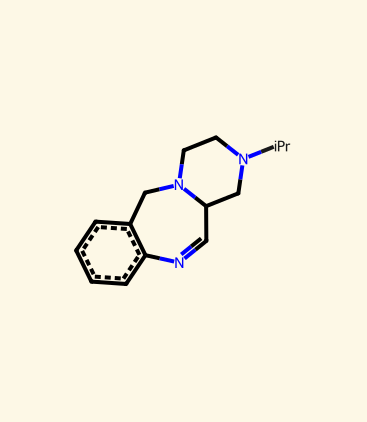 CC(C)N1CCN2Cc3ccccc3N=CC2C1